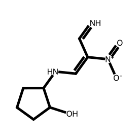 N=C/C(=C\NC1CCCC1O)[N+](=O)[O-]